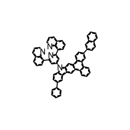 c1ccc(-c2ccc3c(c2)c2cc4c5ccccc5c5cc(-c6ccc7ccccc7c6)ccc5c4cc2n3-c2cc(-c3cccc4cccnc34)nc(-c3cccc4cccnc34)c2)cc1